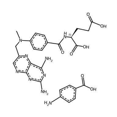 CN(Cc1cnc2nc(N)nc(N)c2n1)c1ccc(C(=O)N[C@@H](CCC(=O)O)C(=O)O)cc1.Nc1ccc(C(=O)O)cc1